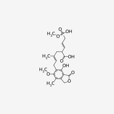 COc1c(C)c2c(c(O)c1C/C=C(\C)CC(/C=C/CP(=O)(O)OC)C(=O)O)C(=O)OC2